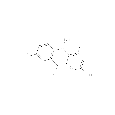 Cc1cc(O)ccc1N(N)c1ccc(O)cc1CO